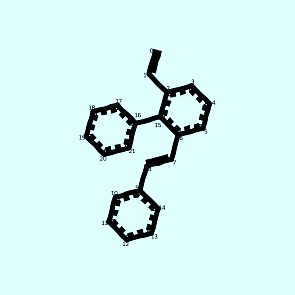 C=Cc1cccc(C=Cc2ccccc2)c1-c1ccccc1